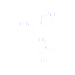 CC(C)(C)OC(=O)NC[C@H]1CNC[C@H]1C(N)=O